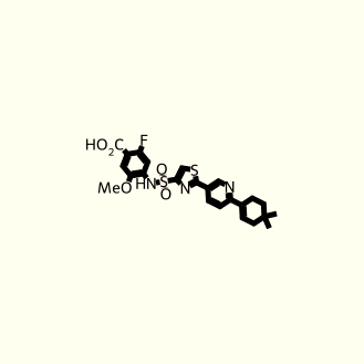 COc1cc(C(=O)O)c(F)cc1NS(=O)(=O)c1csc(-c2ccc(C3=CCC(C)(C)CC3)nc2)n1